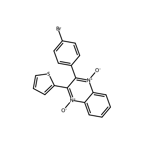 [O-][n+]1c(-c2ccc(Br)cc2)c(-c2cccs2)[n+]([O-])c2ccccc21